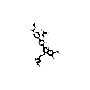 CCOC(=O)N1CCN(C(=O)[C@H](CCC(=O)O)NC(=O)c2cc(OCc3cc(C)on3)c3cc(Cl)c(C)cc3n2)CC1